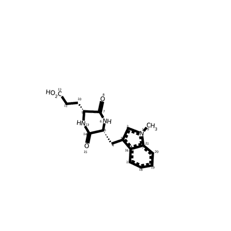 Cn1cc(C[C@H]2NC(=O)[C@@H](CCC(=O)O)NC2=O)c2ccccc21